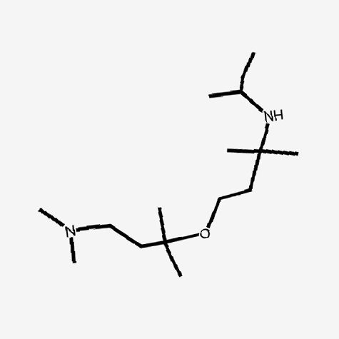 CC(C)NC(C)(C)CCOC(C)(C)CCN(C)C